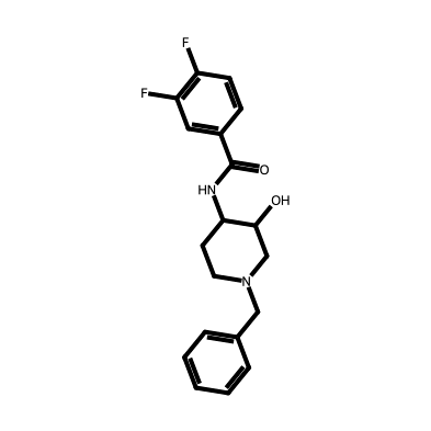 O=C(NC1CCN(Cc2ccccc2)CC1O)c1ccc(F)c(F)c1